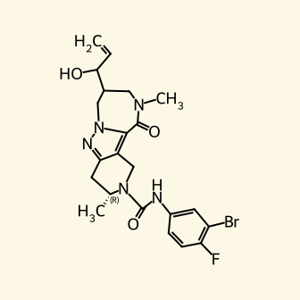 C=CC(O)C1CN(C)C(=O)c2c3c(nn2C1)C[C@@H](C)N(C(=O)Nc1ccc(F)c(Br)c1)C3